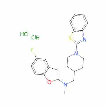 CN(CC1CCN(c2nc3ccccc3s2)CC1)C1Cc2cc(F)ccc2O1.Cl.Cl